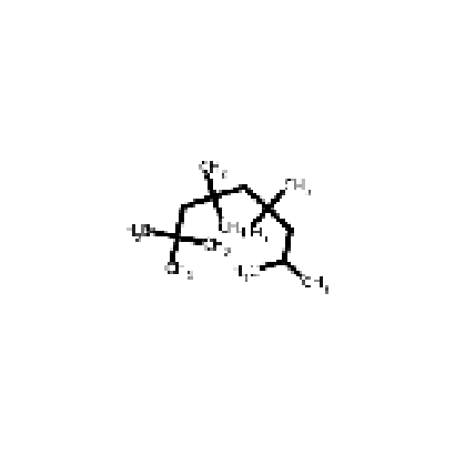 BC(C)(C)CC(C)(C)CC(C)(C)CC(C)C